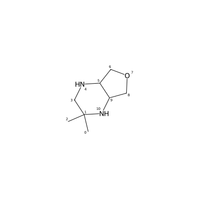 CC1(C)CNC2COCC2N1